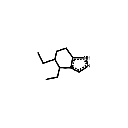 CCC1CCc2[nH]ncc2C1CC